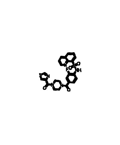 O=C(c1ccc(NS(=O)(=O)c2cccc3cccnc23)c(F)c1)N1CCN(C(=O)c2cscn2)CC1